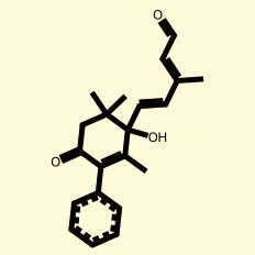 CC(C=CC1(O)C(C)=C(c2ccccc2)C(=O)CC1(C)C)=CC=O